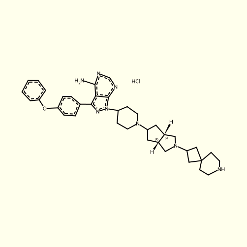 Cl.Nc1ncnc2c1c(-c1ccc(Oc3ccccc3)cc1)nn2C1CCN(C2C[C@@H]3CN(C4CC5(CCNCC5)C4)C[C@@H]3C2)CC1